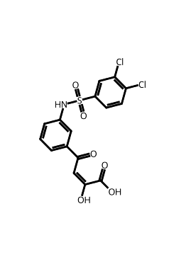 O=C(O)/C(O)=C\C(=O)c1cccc(NS(=O)(=O)c2ccc(Cl)c(Cl)c2)c1